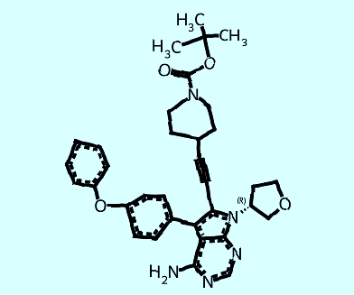 CC(C)(C)OC(=O)N1CCC(C#Cc2c(-c3ccc(Oc4ccccc4)cc3)c3c(N)ncnc3n2[C@@H]2CCOC2)CC1